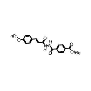 CCCOc1ccc(C=CC(=O)NNC(=O)c2ccc(C(=O)OC)cc2)cc1